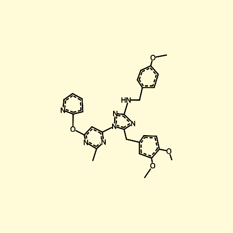 COc1ccc(CNc2nc(Cc3ccc(OC)c(OC)c3)n(-c3cc(Oc4ccccn4)nc(C)n3)n2)cc1